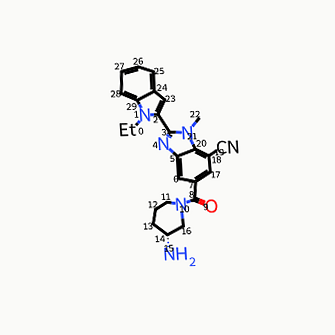 CCn1c(-c2nc3cc(C(=O)N4CCC[C@@H](N)C4)cc(C#N)c3n2C)cc2ccccc21